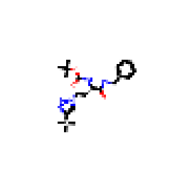 CC(C)(C)OC(=O)N[C@@H](CCn1cc([Si](C)(C)C)nn1)C(=O)NCc1ccccc1